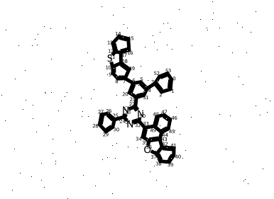 c1ccc(-c2cc(-c3ccc4sc5ccccc5c4c3)cc(-c3nc(-c4ccccc4)nc(-c4cc5oc6ccccc6c5c5ccccc45)n3)c2)cc1